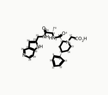 C[C@H](NC(=O)[C@H]1C[C@@H](c2ccccc2)CCN1CC(=O)O)C(=O)NCc1cc2cnccc2[nH]1